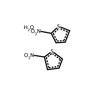 O.O=[N+]([O-])c1cccs1.O=[N+]([O-])c1cccs1